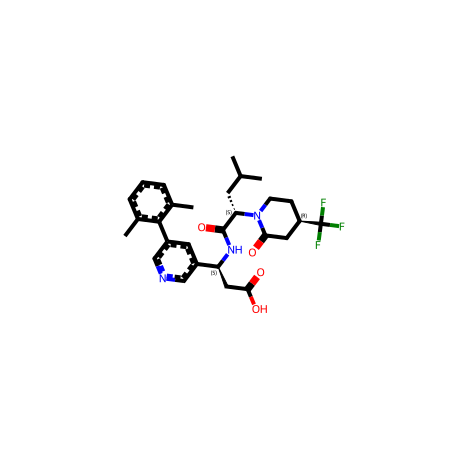 Cc1cccc(C)c1-c1cncc([C@H](CC(=O)O)NC(=O)[C@H](CC(C)C)N2CC[C@@H](C(F)(F)F)CC2=O)c1